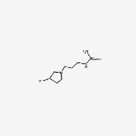 CC(C)C1CCN(CCCNC(=N)N)C1